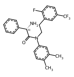 Cc1ccc(N(CCc2cc(C(F)(F)F)ccc2F)C(=O)[C@@H](N)c2ccccc2)cc1C